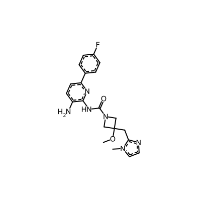 COC1(Cc2nccn2C)CN(C(=O)Nc2nc(-c3ccc(F)cc3)ccc2N)C1